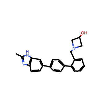 Cc1nc2ccc(-c3ccc(-c4ccccc4CN4CC(O)C4)cc3)cc2[nH]1